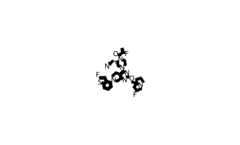 C=C(F)C(=O)N1CCN(c2nc(OCC34CCCN3C[C@H](F)C4)nc3c2CCN(c2cccc4sc(F)cc24)C3)C[C@@H]1CC#N